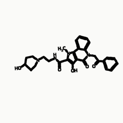 Cn1c(C(=O)NCCN2CCC(O)CC2)c(O)c2c(=O)n(CC(=O)c3ccccc3)c3ccccc3c21